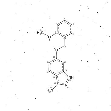 COc1ccccc1COc1ccc2c(N)n[nH]c2c1